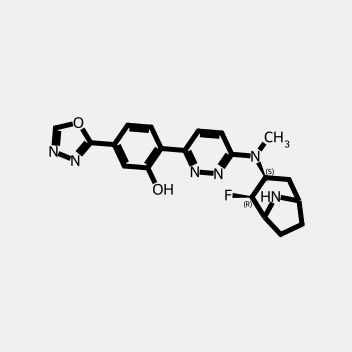 CN(c1ccc(-c2ccc(-c3nnco3)cc2O)nn1)[C@H]1CC2CCC(N2)[C@H]1F